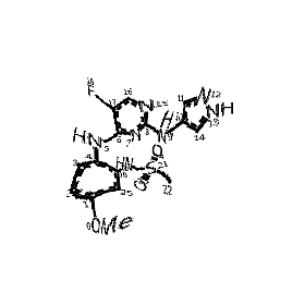 COc1ccc(Nc2nc(Nc3cn[nH]c3)ncc2F)c(NS(C)(=O)=O)c1